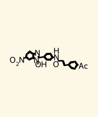 CC(=O)c1ccc(/C=C/C(=O)Nc2ccc(-c3nc4ccc([N+](=O)[O-])cc4n3O)cc2)cc1